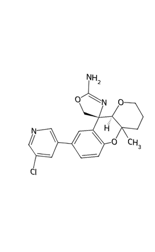 CC12CCCO[C@@H]1[C@]1(COC(N)=N1)c1cc(-c3cncc(Cl)c3)ccc1O2